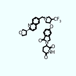 O=C1CCC(N2Cc3cc(O[C@@H]4CN(Cc5ccc6nc([C@H]7CCOC7)ccc6c5)CC4C(F)(F)F)ccc3C2=O)C(=O)N1